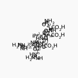 CC(C)C[C@@H](NC(=O)[C@H](CC(=O)O)NC(=O)[C@H](CCCNC(=N)N)NC(=O)[C@@H](N)CCCNC(=N)N)C(=O)N[C@@H](CC(=O)O)C(=O)N[C@@H](CCC(N)=O)C(=O)O